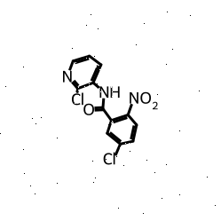 O=C(Nc1cccnc1Cl)c1cc(Cl)ccc1[N+](=O)[O-]